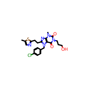 Cc1cnc(CCc2nc3c(c(=O)n(CCCO)c(=O)n3C)n2Cc2ccc(Cl)cc2)s1